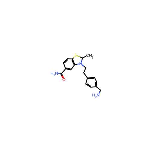 CC1Sc2ccc(C(N)=O)cc2N1CCc1ccc(CN)cc1